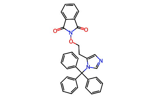 O=C1c2ccccc2C(=O)N1OCCc1cncn1C(c1ccccc1)(c1ccccc1)c1ccccc1